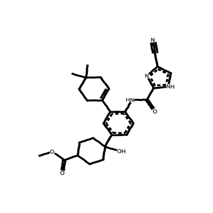 COC(=O)C1CCC(O)(c2ccc(NC(=O)c3nc(C#N)c[nH]3)c(C3=CCC(C)(C)CC3)c2)CC1